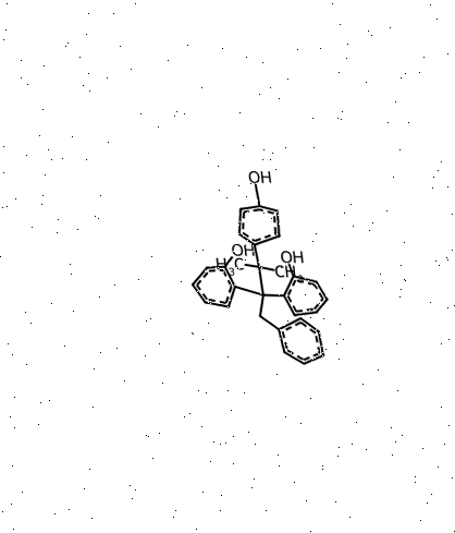 CC(C)(c1ccc(O)cc1)C(Cc1ccccc1)(c1ccccc1O)c1ccccc1O